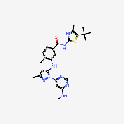 CNc1cc(-n2nc(C)cc2Nc2cc(C(=O)Nc3nc(C)c(C(C)(C)C)s3)ccc2C)ncn1